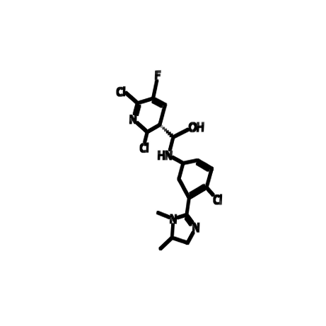 CC1CN=C(C2=C(Cl)C=CC(NC(O)[C@H]3C=C(F)C(Cl)=NC3Cl)C2)N1C